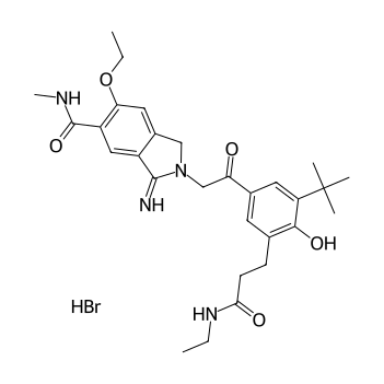 Br.CCNC(=O)CCc1cc(C(=O)CN2Cc3cc(OCC)c(C(=O)NC)cc3C2=N)cc(C(C)(C)C)c1O